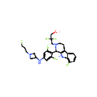 OCC(F)(F)CN1CCc2c([nH]c3c(F)cccc23)C1c1c(F)cc(NC2CN(CCCF)C2)cc1F